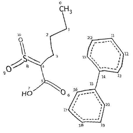 CCCCC(C(=O)O)=S(=O)=O.c1ccc(-c2ccccc2)cc1